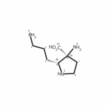 BCCC[C@H]1NCC[C@@]1(N)C(=O)O